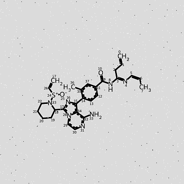 C=CC/C(=N\C=C/C)NC(=O)c1ccc(-c2nc(C3CCCCN3[S+]([O-])C=C)n3ccnc(N)c23)c(C)c1